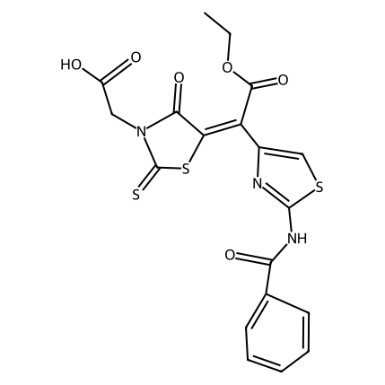 CCOC(=O)C(=C1SC(=S)N(CC(=O)O)C1=O)c1csc(NC(=O)c2ccccc2)n1